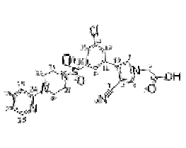 N#Cc1cn(CC(=O)O)cc1-c1cc(Cl)cc(S(=O)(=O)N2CCN(c3ccccn3)CC2)c1